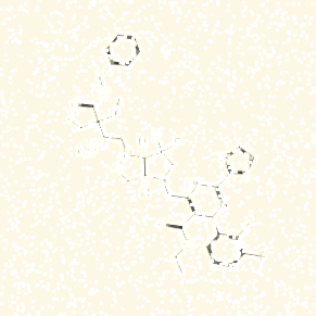 CCOC(=O)C1=C(CN2CC(F)(F)[C@H]3[C@@H]2CON3C[C@H](O)C(CC)(CC)C(=O)OCc2ccccc2)NC(c2nccs2)=N[C@H]1c1cccc(F)c1C